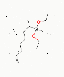 C=CCCCCC(C)[Si](C)(OCC)OCC